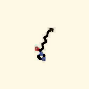 CC(C)CCCCCCC(=O)n1ccnc1